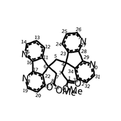 COC(=O)CC1(CC2(CC(=O)OC)c3cccnc3-c3ncccc32)c2cccnc2-c2ncccc21